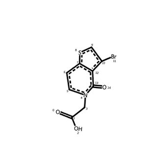 O=C(O)Cn1ccc2scc(Br)c2c1=O